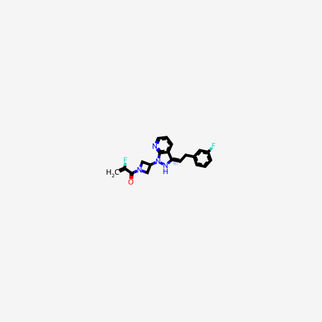 C=C(F)C(=O)N1CC(N2N/C(=C/Cc3cccc(F)c3)c3cccnc32)C1